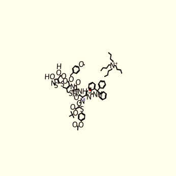 CCCC[N+](CCCC)(CCCC)CCCC.COc1ccc(COC(=O)C2=C(CSc3snc(O)c3C(=O)O)CS[C@H]3[C@H](NC(=O)/C(=N\O[C@H](Sc4ccc(OC(C)=O)cc4)C(=O)OC(C)(C)C)c4csc(NC(c5ccccc5)(c5ccccc5)c5ccccc5)n4)C(=O)N23)cc1